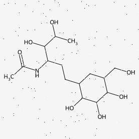 CC(=O)NC(CCC1CC(CO)C(O)C(O)C1O)C(O)C(C)O